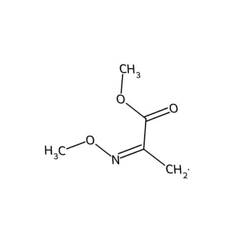 [CH2]C(=NOC)C(=O)OC